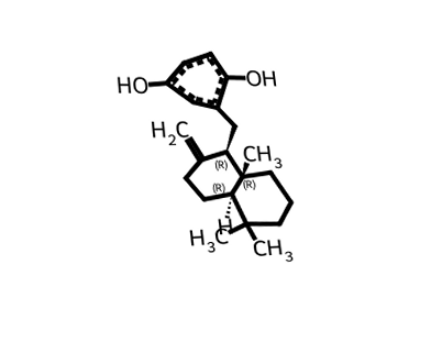 C=C1CC[C@@H]2C(C)(C)CCC[C@@]2(C)[C@@H]1Cc1cc(O)ccc1O